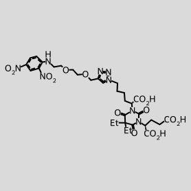 CCC1(CC)C(=O)N([C@@H](CCCCn2cc(COCCOCCNc3ccc([N+](=O)[O-])cc3[N+](=O)[O-])nn2)C(=O)O)C(=O)N([C@@H](CCC(=O)O)C(=O)O)C1=O